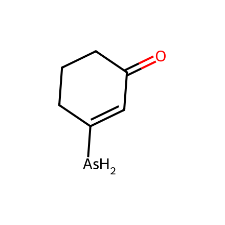 O=C1C=C([AsH2])CCC1